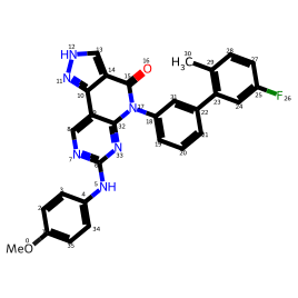 COc1ccc(Nc2ncc3c4n[nH]cc4c(=O)n(-c4cccc(-c5cc(F)ccc5C)c4)c3n2)cc1